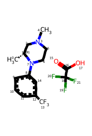 C[C@@H]1CN(C)CCN1c1cccc(C(F)(F)F)c1.O=C(O)C(F)(F)F